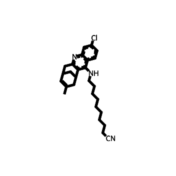 CC1=CC2Cc3nc4cc(Cl)ccc4c(NCCCCCCCCCC#N)c3C(C1)C2